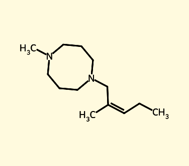 CC/C=C(/C)CN1CCCN(C)CCC1